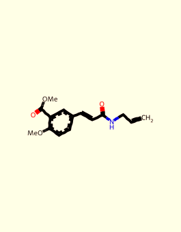 C=CCNC(=O)/C=C/c1ccc(OC)c(C(=O)OC)c1